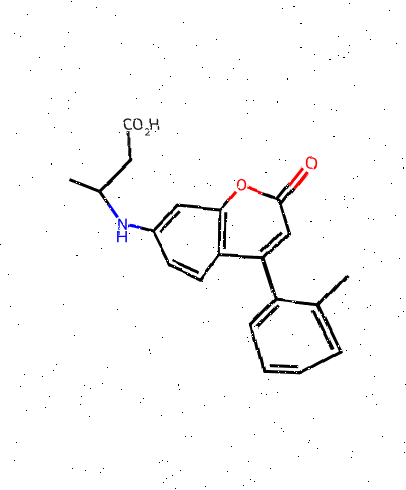 Cc1ccccc1-c1cc(=O)oc2cc(NC(C)CC(=O)O)ccc12